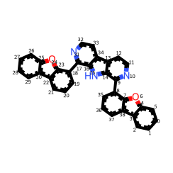 c1ccc2c(c1)oc1c(-c3nccc4c3[nH]c3c(-c5cccc6c5oc5ccccc56)nccc34)cccc12